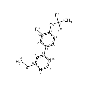 CC(F)(F)Oc1ccc(-c2cc(CN)ncn2)cc1F